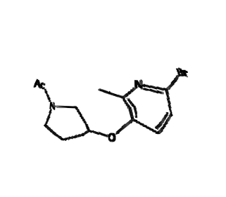 CC(=O)N1CCC(Oc2ccc(Br)nc2C)C1